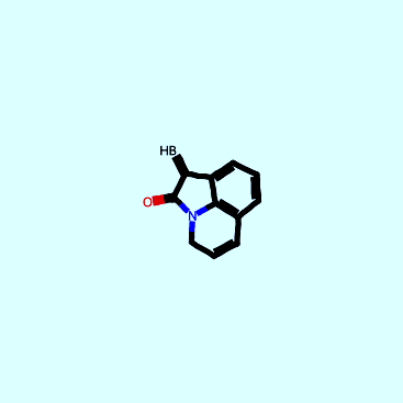 B=C1C(=O)N2CC=Cc3cccc1c32